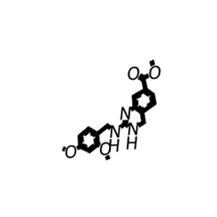 COC(=O)c1ccc2c(c1)N=C(NCc1ccc(OC)cc1OC)NC2